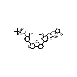 COc1cc(-c2nccc(-c3cccc(-c4ccc(CN(CC5CCC(=O)N5)C(=O)O)c(OC)n4)c3Cl)c2Cl)ccc1[C@H](C)N[S@@+]([O-])C(C)(C)C